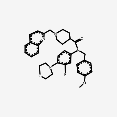 COc1ccc(CN(C(=O)C2CCN(Cc3ccc4ccccc4n3)CC2)c2ccc(N3CCOCC3)c(F)c2)cc1